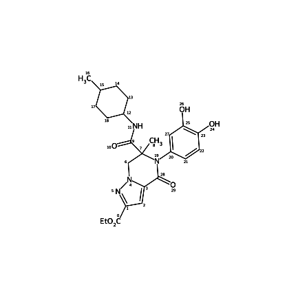 CCOC(=O)c1cc2n(n1)CC(C)(C(=O)NC1CCC(C)CC1)N(c1ccc(O)c(O)c1)C2=O